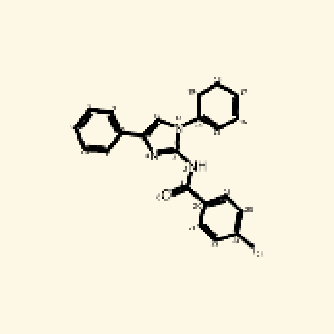 O=C(Nc1nc(-c2ccccc2)cn1C1=CC=CCC1)c1ccc(I)cc1